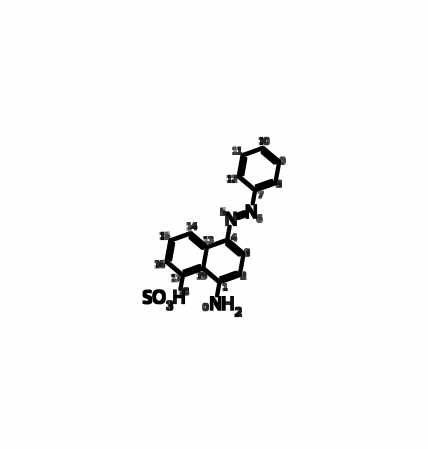 Nc1ccc(/N=N/c2ccccc2)c2cccc(S(=O)(=O)O)c12